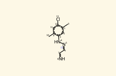 Cc1cc(N/N=C\C=N)c(C)cc1Cl